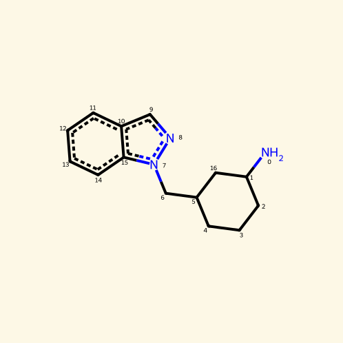 NC1CCCC(Cn2ncc3ccccc32)C1